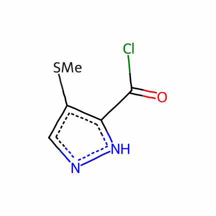 CSc1cn[nH]c1C(=O)Cl